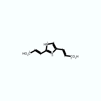 O=C(O)C=Cc1c[nH]c(C=CC(=O)O)n1